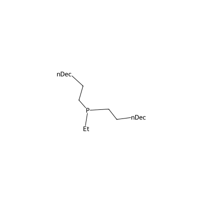 CCCCCCCCCCCCP(CC)CCCCCCCCCCCC